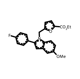 CCOC(=O)c1ccc(Cn2c(-c3ccc(F)cc3)cc3cc(OC)ccc32)o1